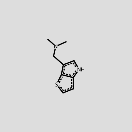 CN(C)Cc1c[nH]c2ccsc12